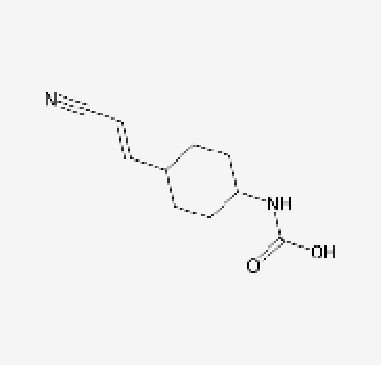 N#C/C=C/C1CCC(NC(=O)O)CC1